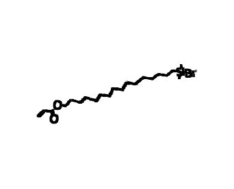 C=CC(=O)OCCCCCCCCCCCCCCCC[Si](C)(C)Br